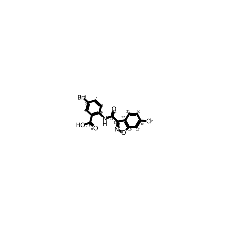 O=C(O)c1cc(Br)ccc1NC(=O)c1noc2cc(Cl)ccc12